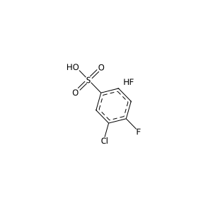 F.O=S(=O)(O)c1ccc(F)c(Cl)c1